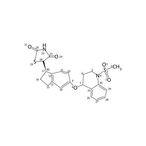 CS(=O)(=O)N1CCC(Oc2ccc3c(c2)CC[C@H]3C2SC(=O)NC2=O)c2ccccc21